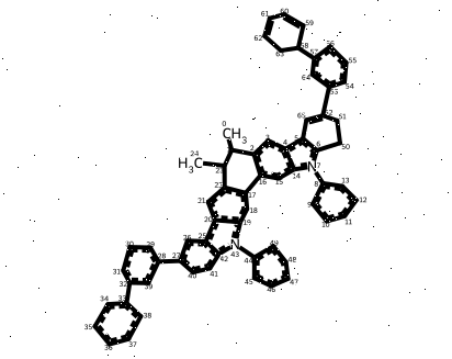 CC1c2cc3c4c(n(-c5ccccc5)c3cc2-c2cc3c(cc2C1C)c1cc(-c2cccc(-c5ccccc5)c2)ccc1n3-c1ccccc1)CCC(c1cccc(C2C=CC=CC2)c1)=C4